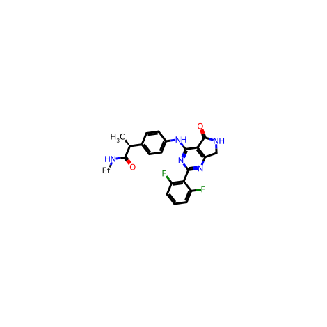 CCNC(=O)[C@@H](C)c1ccc(Nc2nc(-c3c(F)cccc3F)nc3c2C(=O)NC3)cc1